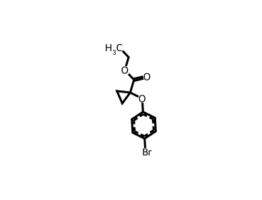 CCOC(=O)C1(Oc2ccc(Br)cc2)CC1